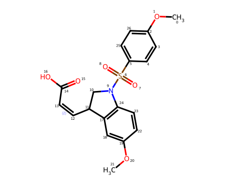 COc1ccc(S(=O)(=O)N2CC(/C=C\C(=O)O)c3cc(OC)ccc32)cc1